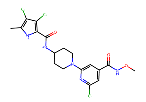 CONC(=O)c1cc(Cl)nc(N2CCC(NC(=O)c3[nH]c(C)c(Cl)c3Cl)CC2)c1